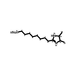 CCCCCCCCCCCCCCCCCC1=NC(C)C(C)N1